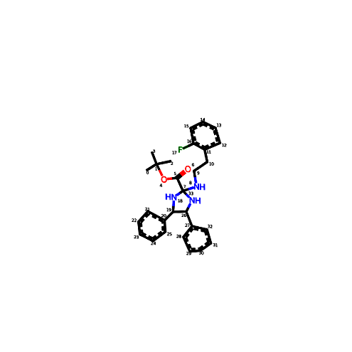 CC(C)(C)OC(=O)C1(NCCc2ccccc2F)NC(c2ccccc2)C(c2ccccc2)N1